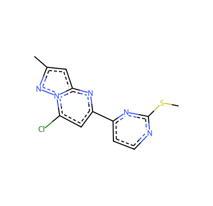 CSc1nccc(-c2cc(Cl)n3nc(C)cc3n2)n1